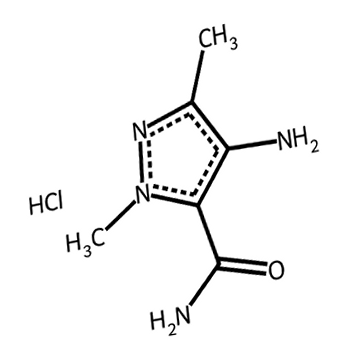 Cc1nn(C)c(C(N)=O)c1N.Cl